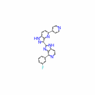 Fc1cccc(-c2nccc3[nH]c(-c4n[nH]c5ccc(-c6ccncc6)nc45)nc23)c1